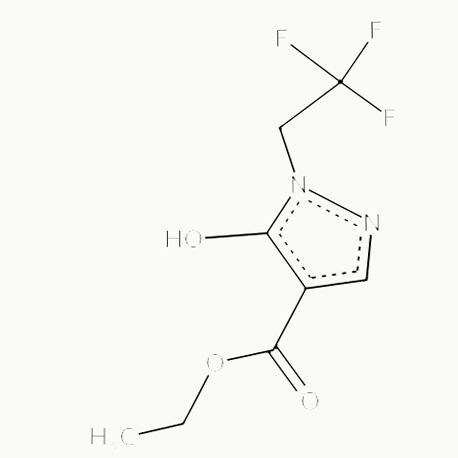 CCOC(=O)c1cnn(CC(F)(F)F)c1O